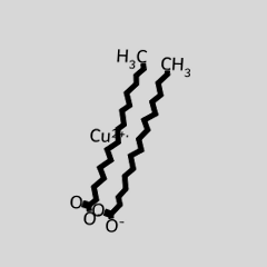 CCCCCCCCCCCCCCCCC(=O)[O-].CCCCCCCCCCCCCCCCC(=O)[O-].[Cu+2]